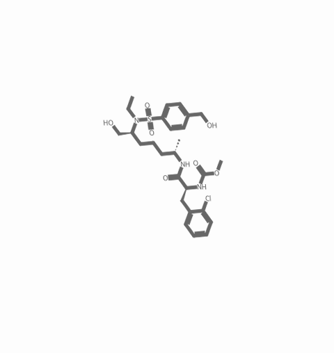 CCN([C@H](CO)CCC[C@H](C)NC(=O)[C@H](Cc1ccccc1Cl)NC(=O)OC)S(=O)(=O)c1ccc(CO)cc1